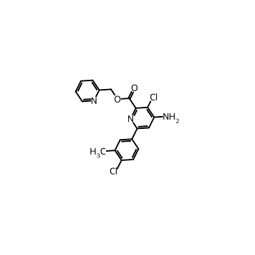 Cc1cc(-c2cc(N)c(Cl)c(C(=O)OCc3ccccn3)n2)ccc1Cl